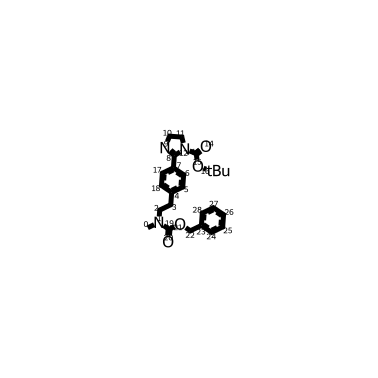 CN(CCc1ccc(C2=NCCN2C(=O)OC(C)(C)C)cc1)C(=O)OCc1ccccc1